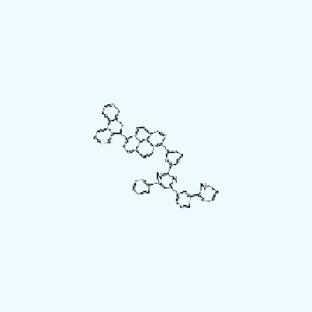 c1ccc(-c2cc(-c3cccc(-c4ccccn4)c3)nc(-c3cccc(-c4ccc5ccc6c(-c7cc8ccccc8c8ccccc78)ccc7ccc4c5c76)c3)n2)cc1